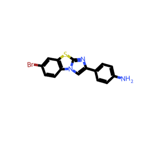 Nc1ccc(-c2cn3c(n2)sc2cc(Br)ccc23)cc1